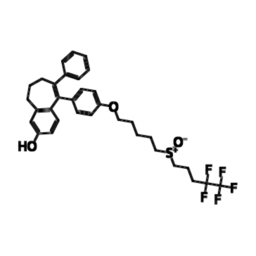 [O-][S+](CCCCCOc1ccc(C2=C(c3ccccc3)CCCc3cc(O)ccc32)cc1)CCCC(F)(F)C(F)(F)F